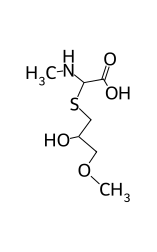 CNC(SCC(O)COC)C(=O)O